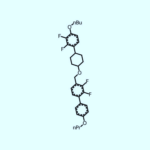 CCCCOc1ccc(C2CCC(OCc3ccc(-c4ccc(OCCC)cc4)c(F)c3F)CC2)c(F)c1F